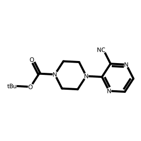 CC(C)(C)OC(=O)N1CCN(c2nccnc2C#N)CC1